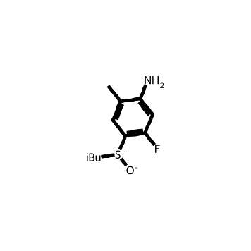 CCC(C)[S+]([O-])c1cc(C)c(N)cc1F